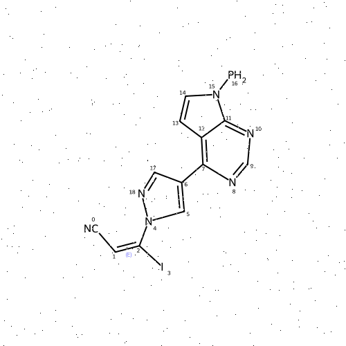 N#C/C=C(/I)n1cc(-c2ncnc3c2ccn3P)cn1